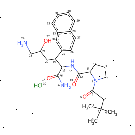 CC(C)(C)CC(=O)N1CCCC1C(=O)NC(C(N)=O)C(CC(O)CN)c1ccc2ccccc2c1.Cl